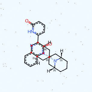 O=c1cccc(-c2nc3ccccc3n([C@H]3C[C@H]4CCC[C@@H](C3)N4[C@H]3C[C@@H]4CCC[C@@H](C4)C3)c2=O)[nH]1